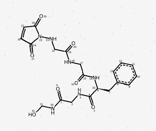 O=C(CNC(=O)[C@H](Cc1ccccc1)NC(=O)CNC(=O)CNN1C(=O)C=CC1=O)NCO